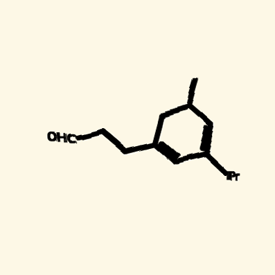 CC1C=C(C(C)C)C=C(CCC=O)C1